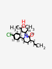 C=CCC1CCC(c2ccc(Cl)cc2)N(C(CC)CC(C)O)C1=O